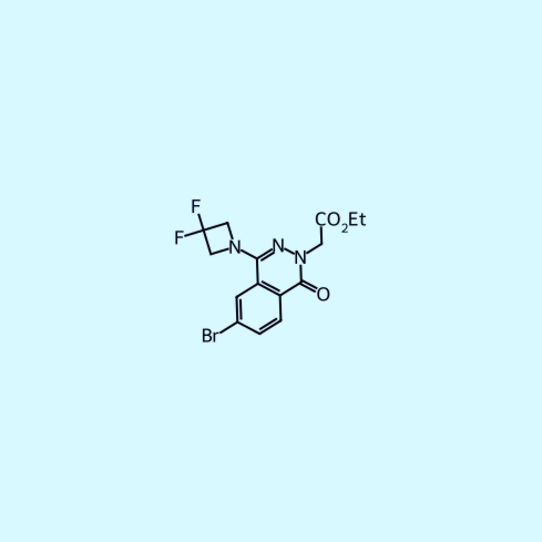 CCOC(=O)Cn1nc(N2CC(F)(F)C2)c2cc(Br)ccc2c1=O